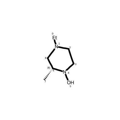 CCN1CCN(O)[C@H](C)C1